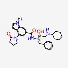 CCn1ccc2c(N3CCCC3=O)cc(C(=O)N[C@@H](Cc3ccccc3)[C@H](O)CNC3CCCCC3)cc21